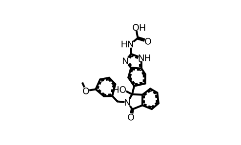 COc1cccc(CN2C(=O)c3ccccc3C2(O)c2ccc3[nH]c(NC(=O)O)nc3c2)c1